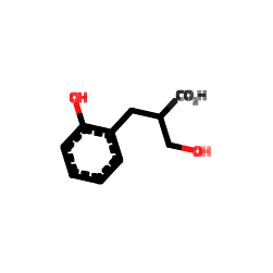 O=C(O)C(CO)Cc1ccccc1O